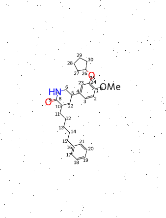 COc1ccc(C2CNC(=O)C(CCCCCc3ccccc3)C2)cc1OC1CCCC1